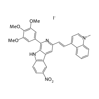 COc1cc(-c2nc(/C=C/c3cc[n+](C)c4ccccc34)cc3c2[nH]c2ccc([N+](=O)[O-])cc23)cc(OC)c1OC.[I-]